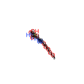 CCCOCCOCCOCCOCCOCCn1cc(CNC(=O)CC2SCC(C(=O)O)NC2=O)nn1